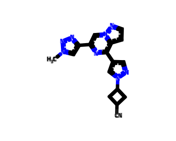 Cn1cc(-c2cn3nccc3c(-c3cnn(C4CC(C#N)C4)c3)n2)nn1